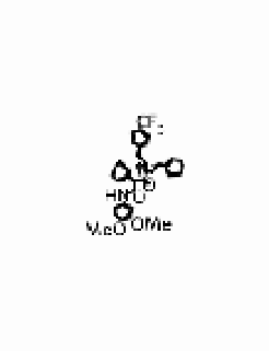 COc1ccc(NC(=O)C(C(=O)[N+](C)(CCc2ccccc2)CCc2ccc(C(F)(F)F)cc2)c2ccccc2)cc1OC